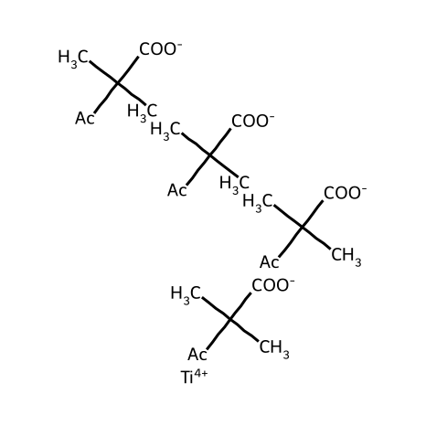 CC(=O)C(C)(C)C(=O)[O-].CC(=O)C(C)(C)C(=O)[O-].CC(=O)C(C)(C)C(=O)[O-].CC(=O)C(C)(C)C(=O)[O-].[Ti+4]